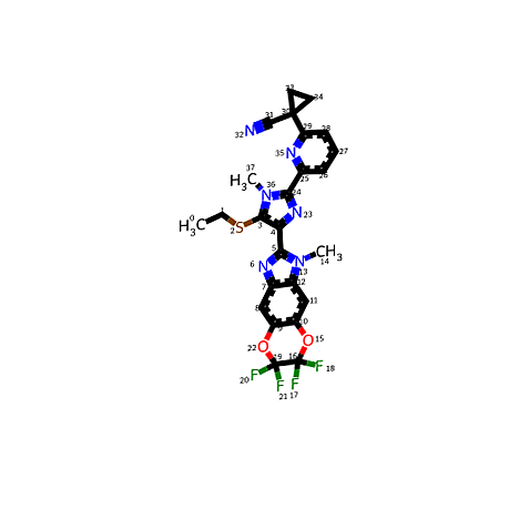 CCSc1c(-c2nc3cc4c(cc3n2C)OC(F)(F)C(F)(F)O4)nc(-c2cccc(C3(C#N)CC3)n2)n1C